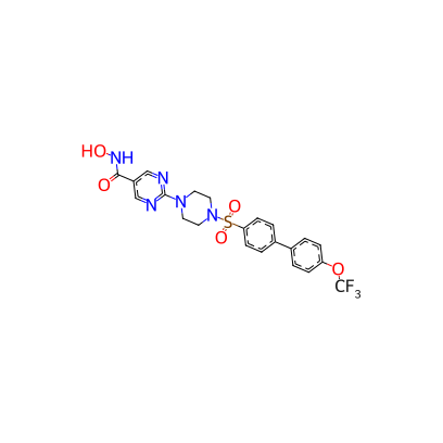 O=C(NO)c1cnc(N2CCN(S(=O)(=O)c3ccc(-c4ccc(OC(F)(F)F)cc4)cc3)CC2)nc1